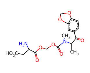 CC(C(=O)c1ccc2c(c1)OCO2)N(C)C(=O)OCOC(=O)C(N)CC(=O)O